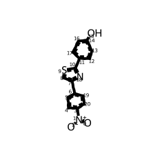 O=[N+]([O-])c1ccc(-c2csc(-c3ccc(O)cc3)n2)cc1